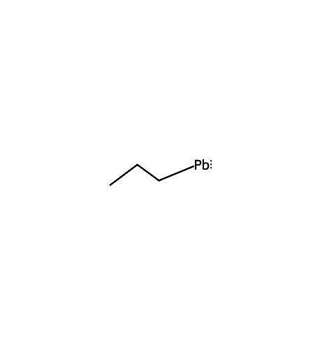 CC[CH2][Pb]